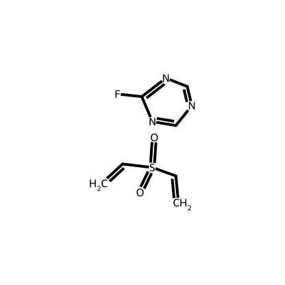 C=CS(=O)(=O)C=C.Fc1ncncn1